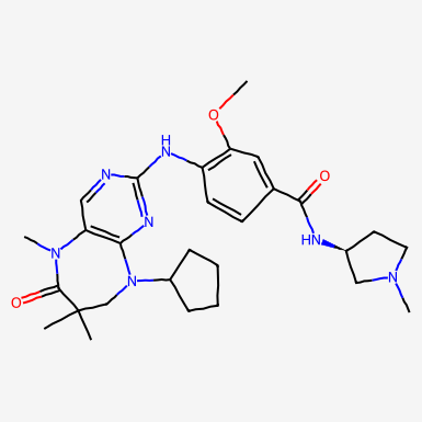 COc1cc(C(=O)N[C@H]2CCN(C)C2)ccc1Nc1ncc2c(n1)N(C1CCCC1)CC(C)(C)C(=O)N2C